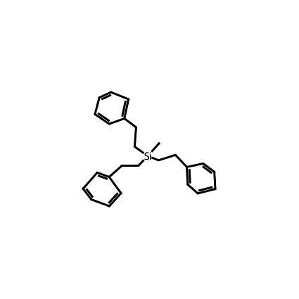 C[Si](CCc1ccccc1)(CCc1ccccc1)CCc1ccccc1